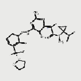 CC1=N/C(=C(\F)C(=O)N(C)C2(C(F)F)CC2)C(C)C(NOC2CC=CC(C(F)(F)[C@@H]3CCCO3)=C2F)=N1